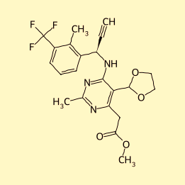 C#C[C@@H](Nc1nc(C)nc(CC(=O)OC)c1C1OCCO1)c1cccc(C(F)(F)F)c1C